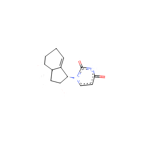 O=c1ccn([C@@H]2C3=CCC[C@@H](O)[C@@H]3[C@@H](O)[C@H]2O)c(=O)[nH]1